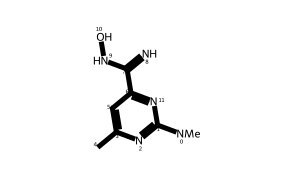 CNc1nc(C)cc(C(=N)NO)n1